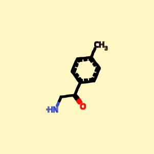 Cc1ccc(C(=O)C[NH])cc1